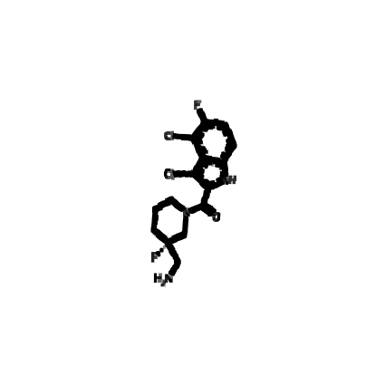 NC[C@@]1(F)CCCN(C(=O)c2[nH]c3ccc(F)c(Cl)c3c2Cl)C1